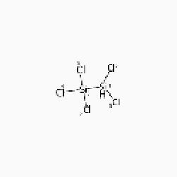 Cl[SiH](Cl)[Si](Cl)(Cl)Cl